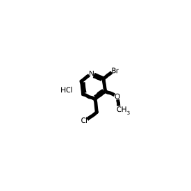 COc1c(CCl)ccnc1Br.Cl